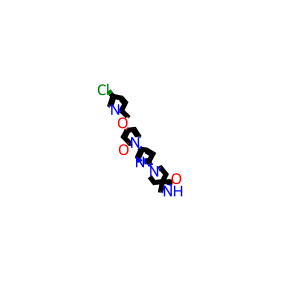 O=C1NCC12CCN(c1ccc(-n3ccc(OCc4ccc(Cl)cn4)cc3=O)cn1)CC2